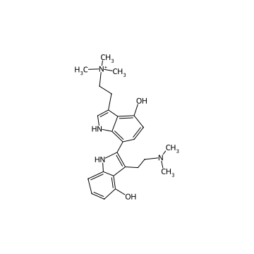 CN(C)CCc1c(-c2ccc(O)c3c(CC[N+](C)(C)C)c[nH]c23)[nH]c2cccc(O)c12